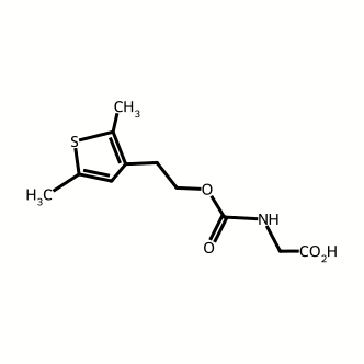 Cc1cc(CCOC(=O)NCC(=O)O)c(C)s1